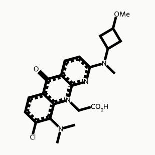 COC1CC(N(C)c2ccc3c(=O)c4ccc(Cl)c(N(C)C)c4n(CC(=O)O)c3n2)C1